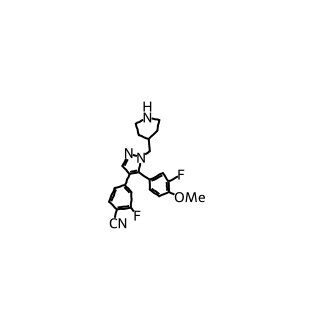 COc1ccc(-c2c(-c3ccc(C#N)c(F)c3)cnn2CC2CCNCC2)cc1F